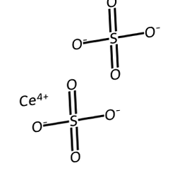 O=S(=O)([O-])[O-].O=S(=O)([O-])[O-].[Ce+4]